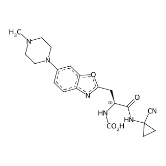 CN1CCN(c2ccc3nc(C[C@H](NC(=O)O)C(=O)NC4(C#N)CC4)oc3c2)CC1